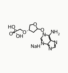 Nc1c2ncnc-2ncn1OC1C[C@H](OCP(=O)(O)O)CO1.[NaH]